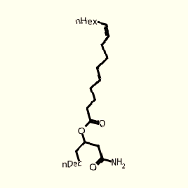 CCCCCC/C=C\CCCCCCCC(=O)OC(CCCCCCCCCCC)CC(N)=O